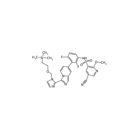 COc1ncc(C#N)cc1S(=O)(=O)Nc1ccc(F)c(-c2ccn3c(-c4nccn4COCC[Si](C)(C)C)ncc3c2)c1F